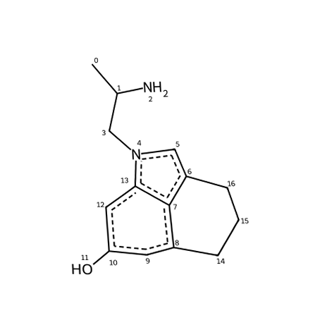 CC(N)Cn1cc2c3c(cc(O)cc31)CCC2